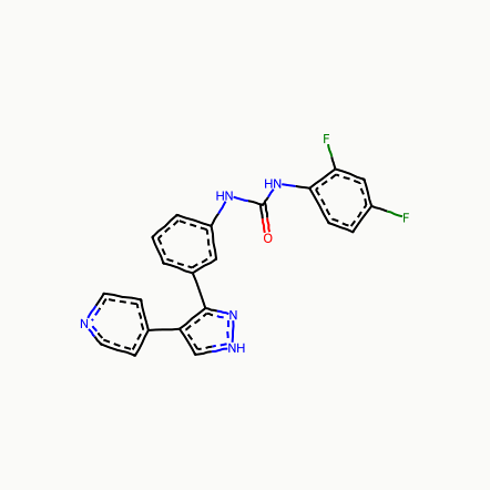 O=C(Nc1cccc(-c2n[nH]cc2-c2ccncc2)c1)Nc1ccc(F)cc1F